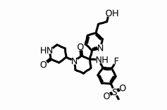 CS(=O)(=O)c1ccc(NC2(c3ccc(CCO)cn3)CCCN(C3CCNC(=O)C3)C2=O)c(F)c1